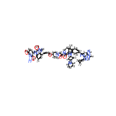 CC(C)n1cnc2cc(-c3ccc(C4(C)CCN(C(=O)CN5CCC(OCC#Cc6cccc7c6n(C)c(=O)n7C6CCC(=O)NC6=O)CC5)CC4)c(N(C=O)C4CC(N5CCCCC5)C4)c3)nc(NC3CC3)c21